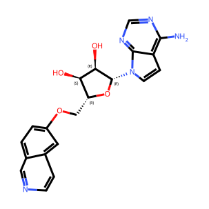 Nc1ncnc2c1ccn2[C@@H]1O[C@H](COc2ccc3cnccc3c2)[C@@H](O)[C@H]1O